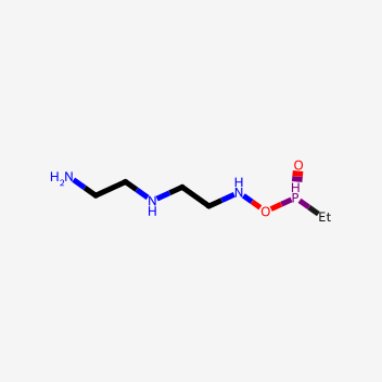 CC[PH](=O)ONCCNCCN